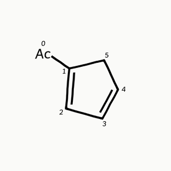 CC(=O)C1=CC=CC1